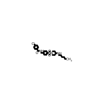 CCCCCCNC1CCN(S(=O)(=O)c2ccc(CNC(=O)c3ccc(Cl)cc3)cc2)CC1